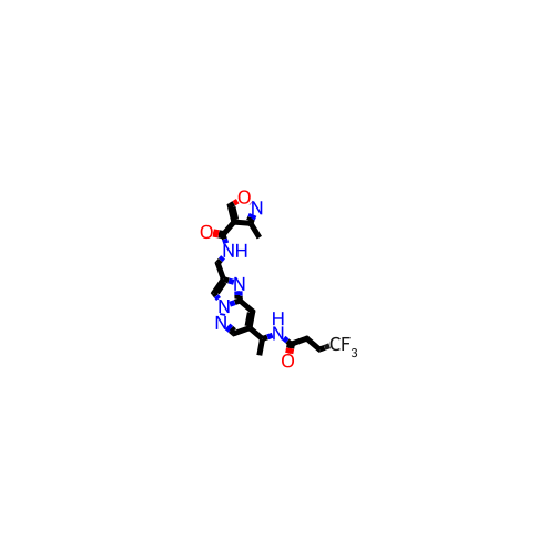 Cc1nocc1C(=O)NCc1cn2ncc(C(C)NC(=O)CCC(F)(F)F)cc2n1